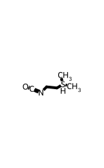 C[SH](C)CCN=C=O